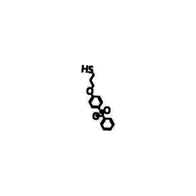 O=S(=O)(c1ccccc1)c1ccc(OCCCS)cc1